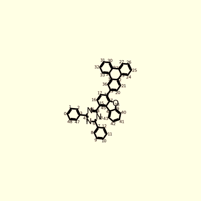 c1ccc(-c2nc(-c3ccccc3)nc(-c3ccc(-c4ccc5c6ccccc6c6ccccc6c5c4)c4oc5ccccc5c34)n2)cc1